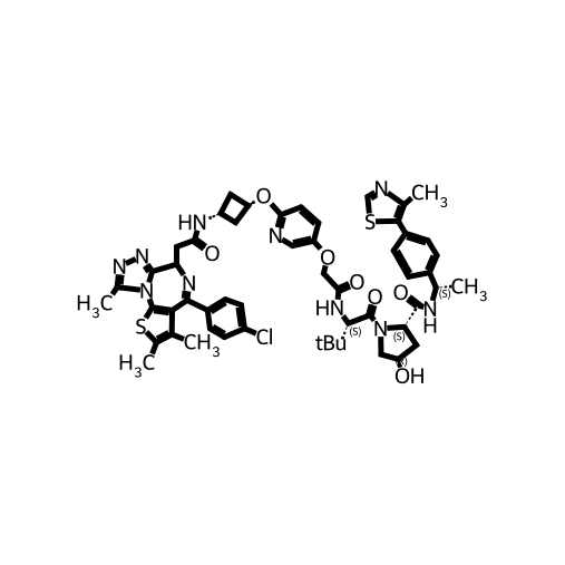 Cc1ncsc1-c1ccc([C@H](C)NC(=O)[C@@H]2C[C@@H](O)CN2C(=O)[C@@H](NC(=O)COc2ccc(O[C@H]3C[C@@H](NC(=O)CC4N=C(c5ccc(Cl)cc5)c5c(sc(C)c5C)-n5c(C)nnc54)C3)nc2)C(C)(C)C)cc1